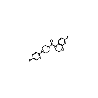 O=C(N1CCN(c2ccc(F)cn2)CC1)N1CCOc2cc(F)ccc21